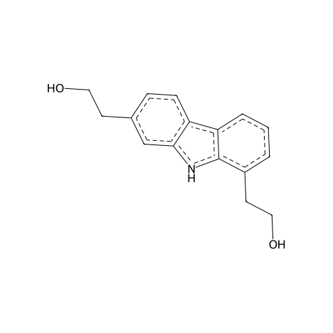 OCCc1ccc2c(c1)[nH]c1c(CCO)cccc12